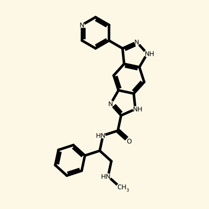 CNCC(NC(=O)c1nc2cc3c(-c4ccncc4)n[nH]c3cc2[nH]1)c1ccccc1